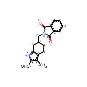 Cc1c(C=O)[nH]c2c1CCC(CN1C(=O)c3ccccc3C1=O)C2